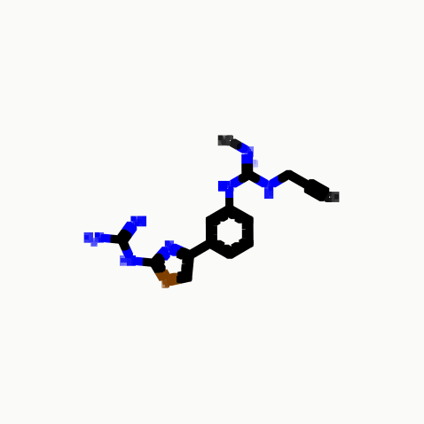 C#CCN/C(=N/C#N)Nc1cccc(-c2csc(NC(=N)N)n2)c1